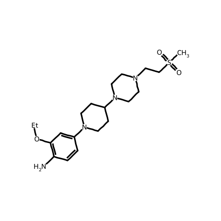 CCOc1cc(N2CCC(N3CCN(CCS(C)(=O)=O)CC3)CC2)ccc1N